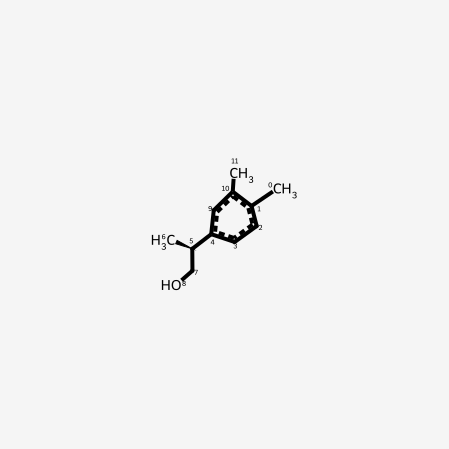 Cc1ccc([C@H](C)CO)cc1C